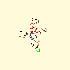 CCCOc1nc(-c2ccc(Cl)cc2)nc(C(C)C)c1OC(=O)OCC